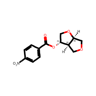 O=C(O[C@@H]1CO[C@H]2COC[C@H]21)c1ccc([N+](=O)[O-])cc1